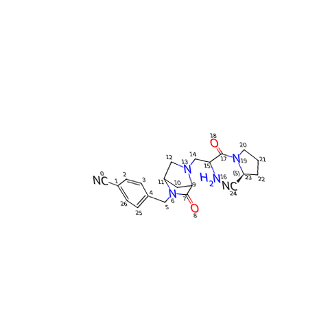 N#Cc1ccc(CN2C(=O)C3CC2CN3CC(N)C(=O)N2CCC[C@H]2C#N)cc1